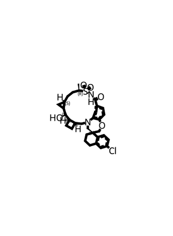 C[C@@H]1CC[C@H]2CC2[C@H](O)[C@@H]2CC[C@H]2CN2C[C@@]3(CCCc4cc(Cl)ccc43)COc3ccc(cc32)C(=O)NS1(=O)=O